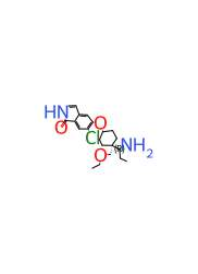 CCOC[C@]1([C@H](N)CC)CC[C@H](Oc2cc3cc[nH]c(=O)c3cc2Cl)CC1